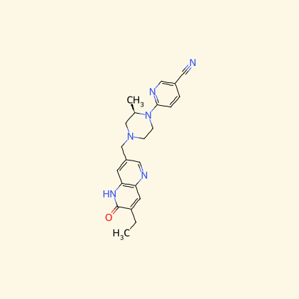 CCc1cc2ncc(CN3CCN(c4ccc(C#N)cn4)[C@H](C)C3)cc2[nH]c1=O